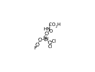 O=C(O)CCNC(=O)c1ccc(Cn2nc(-c3cc(Cl)cc(Cl)c3)cc2-c2cccc(-c3ccc(F)cc3)c2)cc1